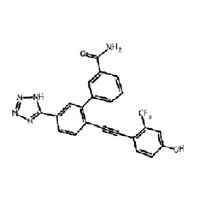 NC(=O)c1cccc(-c2cc(-c3nnn[nH]3)ccc2C#Cc2ccc(O)cc2C(F)(F)F)c1